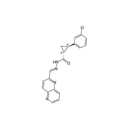 O=C(NN=Cc1ccc2ncccc2n1)[C@@H]1C[C@H]1c1cccc(Cl)c1